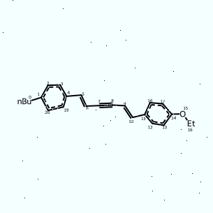 CCCCc1ccc(/C=C/C#C/C=C/c2ccc(OCC)cc2)cc1